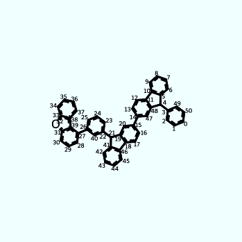 c1ccc(C2c3ccccc3-c3ccc(-c4ccc5c(c4)C(c4cccc(-c6cccc7oc8ccccc8c67)c4)c4ccccc4-5)cc32)cc1